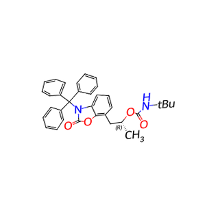 C[C@H](Cc1cccc2c1oc(=O)n2C(c1ccccc1)(c1ccccc1)c1ccccc1)OC(=O)NC(C)(C)C